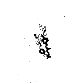 CCCCN(C(=O)COc1ccc(O)cc1)c1cc(C/C=C(\C)CCC=C(C)C)ccc1C(=O)OCCN